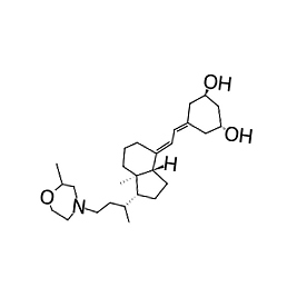 CC1CN(CCC(C)[C@H]2CC[C@H]3C(=CC=C4C[C@@H](O)C[C@H](O)C4)CCC[C@]23C)CCO1